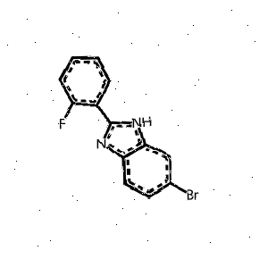 Fc1ccccc1-c1nc2ccc(Br)cc2[nH]1